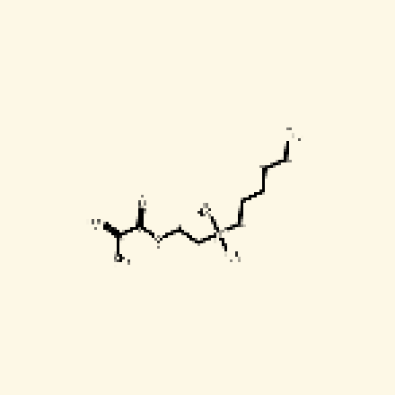 C=C(C)C(=O)OCC[N+](C)(C)CCCCCCCCCCCCCC